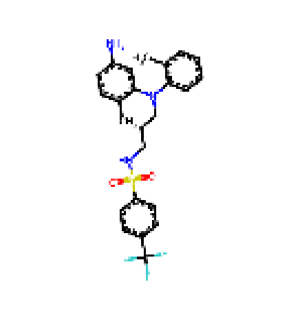 Cc1ccccc1N(CCCNS(=O)(=O)c1ccc(C(F)(F)F)cc1)c1cc(N)ccc1C